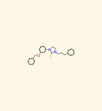 S=C1N(CCCc2ccccc2)CCN1c1cccc(OCc2ccccc2)c1